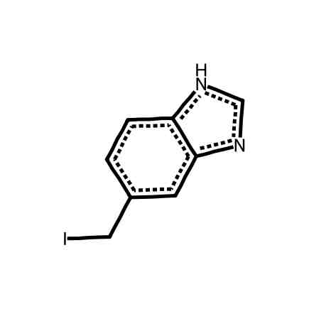 ICc1ccc2[nH]cnc2c1